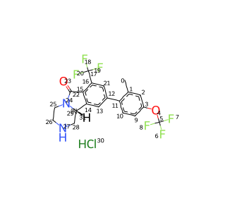 Cc1cc(OC(F)(F)F)ccc1-c1cc2c(c(C(F)(F)F)c1)C(=O)N1CCNC[C@@H]21.Cl